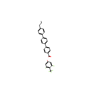 CCCc1ccc(-c2ccc(-c3ccc(C(=O)Oc4cc(F)c(C(F)(F)F)c(F)c4)cc3)cc2)cc1